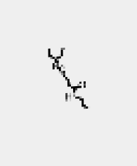 CCCNC(=O)CCCON=C(CC)CC